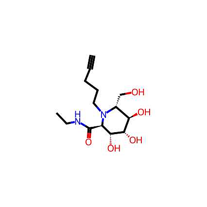 C#CCCCN1[C@H](CO)[C@@H](O)[C@H](O)[C@H](O)[C@H]1C(=O)NCC